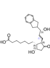 O=C(O)CCCCCC[C@H]1[C@@H](O)CC(=O)[C@@H]1/C=C/[C@@H](O)C1Cc2ccccc2C1